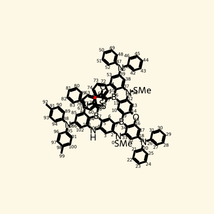 CSN1c2cc3c(cc2B2c4cc5c(cc4Oc4cc(N(c6ccccc6)c6ccccc6)cc1c42)N(SC)c1cc(N(c2ccccc2)c2ccccc2)cc2c1B5c1sc4ccccc4c1O2)B1c2sc4ccccc4c2N(c2ccccc2)c2cc(N(c4ccc(C)cc4)c4ccc(C)cc4)cc(c21)N3